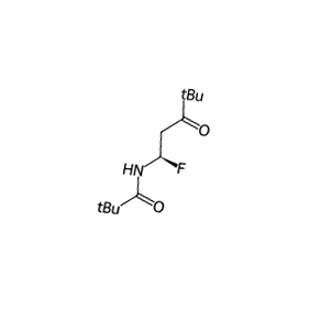 CC(C)(C)C(=O)C[C@@H](F)NC(=O)C(C)(C)C